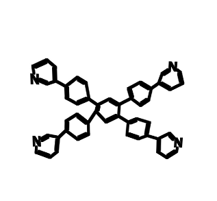 c1cncc(-c2ccc(-c3cc(-c4ccc(-c5cccnc5)cc4)c(-c4ccc(-c5cccnc5)cc4)cc3-c3ccc(-c4cccnc4)cc3)cc2)c1